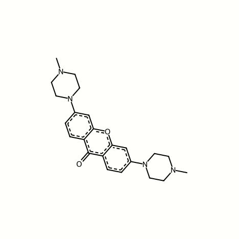 CN1CCN(c2ccc3c(=O)c4ccc(N5CCN(C)CC5)cc4oc3c2)CC1